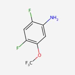 Nc1cc(OC(F)(F)F)c(F)cc1F